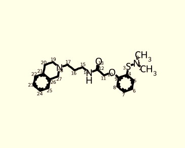 CN(C)Sc1ccccc1OCC(=O)NCCCN1CCc2ccccc2C1